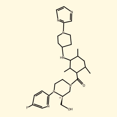 CC1CC(C)C(C(=O)N2CCN(c3ccc(F)cn3)[C@H](CO)C2)C(C)C1NC1CCN(c2cnccn2)CC1